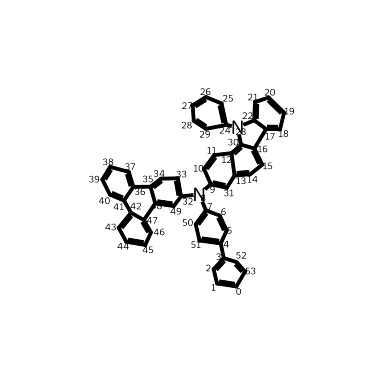 c1ccc(-c2ccc(N(c3ccc4c(ccc5c6ccccc6n(-c6ccccc6)c45)c3)c3ccc4c5ccccc5c5ccccc5c4c3)cc2)cc1